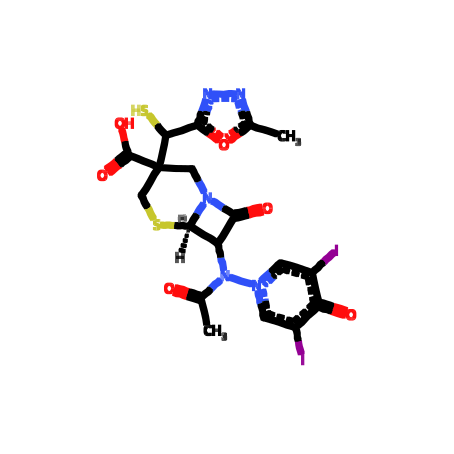 CC(=O)N(C1C(=O)N2CC(C(=O)O)(C(S)c3nnc(C)o3)CS[C@H]12)n1cc(I)c(=O)c(I)c1